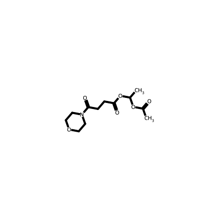 CC(=O)OC(C)OC(=O)CCC(=O)N1CCOCC1